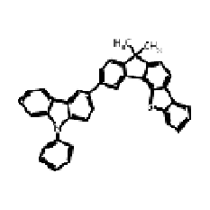 CC1(C)c2ccc(-c3ccc4c(c3)c3ccccc3n4-c3ccccc3)cc2-c2c1ccc1c2sc2ccccc21